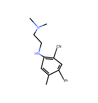 Cc1cc(NCCN(C)C)c(C#N)cc1C(C)C